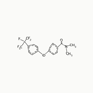 CN(C)C(=O)c1ccc(Oc2ccc(C(F)(C(F)(F)F)C(F)(F)F)cc2)cc1